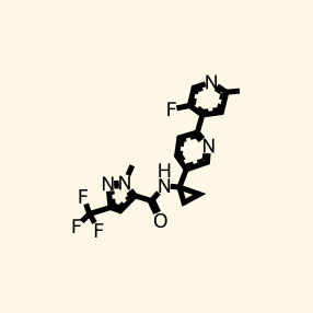 Cc1cc(-c2ccc(C3(NC(=O)c4cc(C(F)(F)F)nn4C)CC3)cn2)c(F)cn1